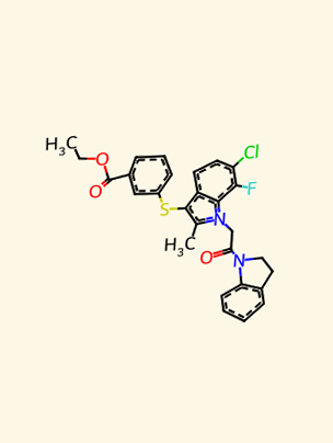 CCOC(=O)c1cccc(Sc2c(C)n(CC(=O)N3CCc4ccccc43)c3c(F)c(Cl)ccc23)c1